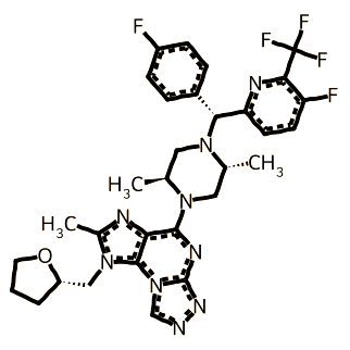 Cc1nc2c(N3C[C@@H](C)N([C@H](c4ccc(F)cc4)c4ccc(F)c(C(F)(F)F)n4)C[C@@H]3C)nc3nncn3c2n1C[C@@H]1CCCO1